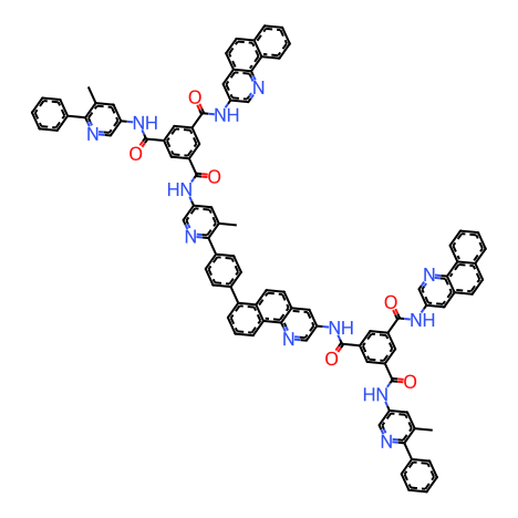 Cc1cc(NC(=O)c2cc(C(=O)Nc3cnc(-c4ccc(-c5cccc6c5ccc5cc(NC(=O)c7cc(C(=O)Nc8cnc(-c9ccccc9)c(C)c8)cc(C(=O)Nc8cnc9c(ccc%10ccccc%109)c8)c7)cnc56)cc4)c(C)c3)cc(C(=O)Nc3cnc4c(ccc5ccccc54)c3)c2)cnc1-c1ccccc1